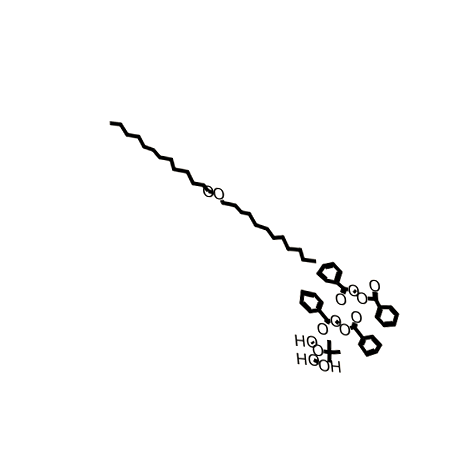 CC(C)(C)OO.CCCCCCCCCCCCOOCCCCCCCCCCCC.O=C(OOC(=O)c1ccccc1)c1ccccc1.O=C(OOC(=O)c1ccccc1)c1ccccc1.OO